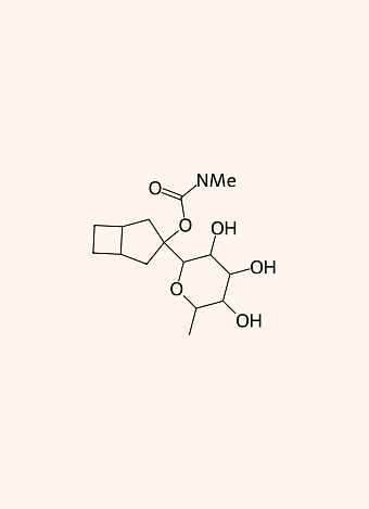 CNC(=O)OC1(C2OC(C)C(O)C(O)C2O)CC2CCC2C1